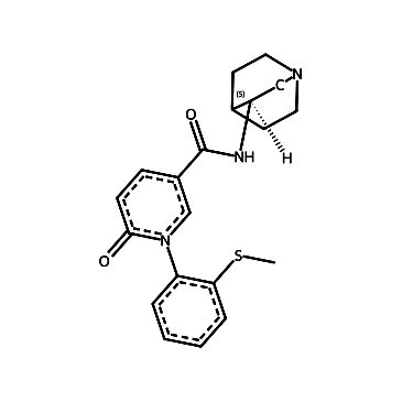 CSc1ccccc1-n1cc(C(=O)N[C@@H]2CN3CCC2CC3)ccc1=O